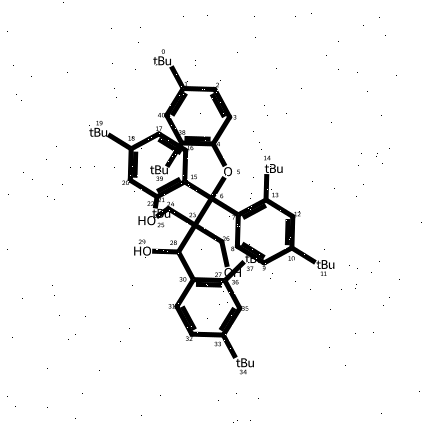 CC(C)(C)c1ccc(OC(c2ccc(C(C)(C)C)cc2C(C)(C)C)(c2ccc(C(C)(C)C)cc2C(C)(C)C)C(CO)(CO)C(O)c2ccc(C(C)(C)C)cc2C(C)(C)C)c(C(C)(C)C)c1